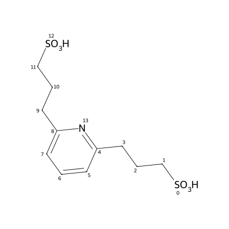 O=S(=O)(O)CCCc1cccc(CCCS(=O)(=O)O)n1